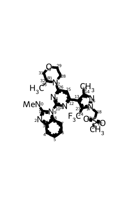 CNc1nc2ccccc2n1-c1nc(-c2c(C)nn(CS(C)(=O)=O)c2C(F)(F)F)cc(N2CCOC[C@H]2C)n1